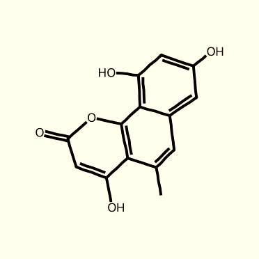 Cc1cc2cc(O)cc(O)c2c2oc(=O)cc(O)c12